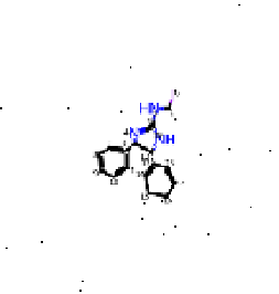 ICNC1=N[C@H](c2ccccc2)[C@@H](C2=CCCC=C2)N1